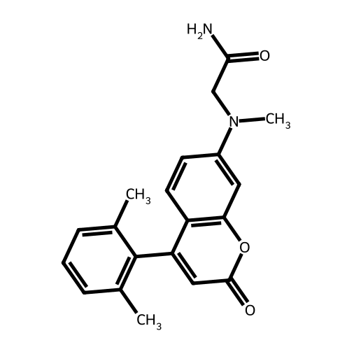 Cc1cccc(C)c1-c1cc(=O)oc2cc(N(C)CC(N)=O)ccc12